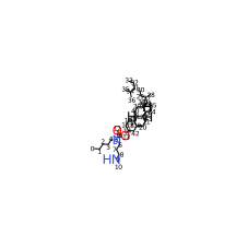 CCCCCN(CCCNC)C(=O)O[C@H]1CC[C@@]2(C)C(=CC[C@H]3[C@@H]4CC[C@H]([C@H](C)CC[C@@H](CC)C(C)C)[C@@]4(C)CC[C@@H]32)C1